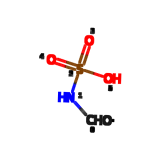 O=[C]NS(=O)(=O)O